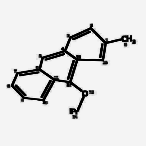 Cc1ccc2cc3ccccc3c(OC(C)C)c2c1